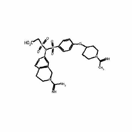 CC(=N)N1CCC(Oc2ccc(S(=O)(=O)N(c3ccc4c(c3)CN(C(=N)N)CC4)S(=O)(=O)CC(=O)O)cc2)CC1